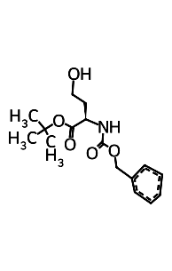 CC(C)(C)OC(=O)[C@@H](CCO)NC(=O)OCc1ccccc1